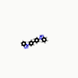 c1ccc2c(c1)nnn2-c1ccc(-c2ccc(-n3nnc4ccccc43)cc2)cc1